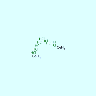 Cl.Cl.Cl.Cl.Cl.Cl.Cl.Cl.[GeH4].[GeH4]